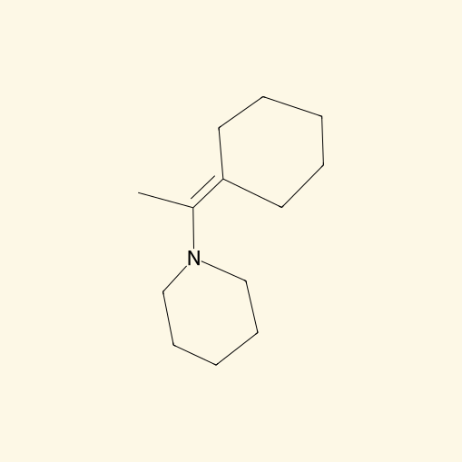 CC(=C1CCCCC1)N1CCCCC1